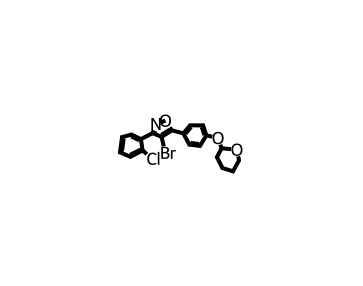 Clc1ccccc1-c1noc(-c2ccc(OC3CCCCO3)cc2)c1Br